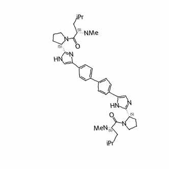 CN[C@@H](CC(C)C)C(=O)N1CCC[C@H]1c1nc(-c2ccc(-c3ccc(-c4cnc([C@@H]5CCCN5C(=O)[C@H](CC(C)C)NC)[nH]4)cc3)cc2)c[nH]1